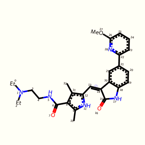 CCN(CC)CCNC(=O)c1c(C)[nH]c(/C=C2\C(=O)Nc3ccc(-c4cccc(OC)n4)cc32)c1C